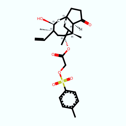 C=C[C@]1(C)C[C@@H](OC(=O)COS(=O)(=O)c2ccc(C)cc2)[C@]2(C)C(C)CC[C@]3(CCC(=O)[C@H]32)C[C@@H]1O